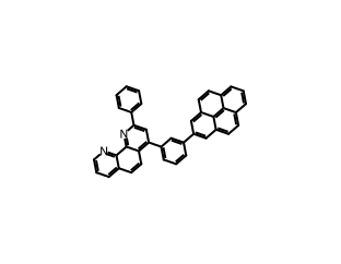 c1ccc(-c2cc(-c3cccc(-c4cc5ccc6cccc7ccc(c4)c5c67)c3)c3ccc4cccnc4c3n2)cc1